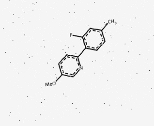 COc1ccc(-c2ccc(C)cc2F)nc1